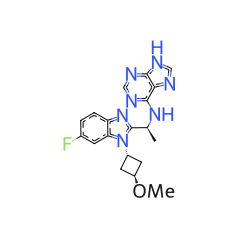 CO[C@H]1C[C@H](n2c([C@H](C)Nc3ncnc4[nH]cnc34)nc3ccc(F)cc32)C1